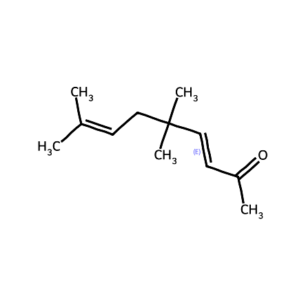 CC(=O)/C=C/C(C)(C)CC=C(C)C